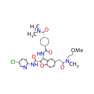 COCCN(C)C(=O)Cc1ccc2oc(C(=O)Nc3ccc(Cl)cn3)c(NC(=O)[C@H]3CC[C@H](C(=O)N(C)C)CC3)c2c1